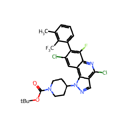 Cc1cccc(-c2c(Cl)cc3c(nc(Cl)c4cnn(C5CCN(C(=O)OC(C)(C)C)CC5)c43)c2F)c1C(F)(F)F